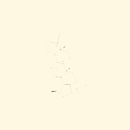 C=C(C)[C@@H]1CC[C@]2(C(=C)O)CC[C@]3(C)C(CCC4[C@@]5(C)CC[C@H](O)[C@@](C)(CO)[C@@H]5CC[C@]43C)C12